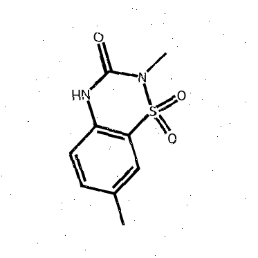 Cc1ccc2c(c1)S(=O)(=O)N(C)C(=O)N2